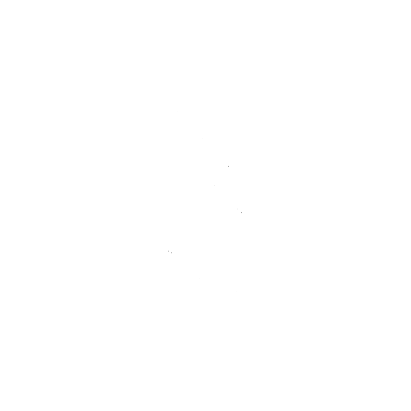 O=C(O)C1=CCCN(CCC=C(c2ccccc2)c2cnccn2)C1